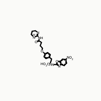 O=C(CCCOc1ccc(C[C@H](Nc2nc3ccc([N+](=O)[O-])cc3o2)C(=O)O)cc1)NC1=NCCCN1